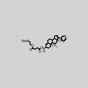 CNCCOC(=O)CCC(=O)ONC1C=C2CCC3C(CCC4(C)C(c5cccnc5)=CCC34)C2(C)CC1